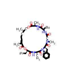 CCC(C)C1NC(=O)CN(C)C(=O)[C@@H](Cc2ccccc2)N(C)C(=O)[C@H](C)NC(=O)[C@@H](CC(C)C)OC(=O)/C(C)=C/CC[C@H](C)COC(=O)[C@@H](C)NC1=O